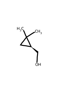 CC1(C)C[C@@H]1CO